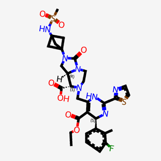 CCOC(=O)C1=C(CN2CCN3C(=O)N(C45CC(NS(C)(=O)=O)(C4)C5)C[C@@H]3[C@H]2C(=O)O)NC(c2nccs2)=N[C@H]1c1cccc(F)c1C